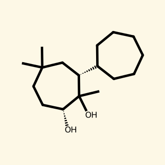 CC1(C)CC[C@@H](O)C(C)(O)[C@@H](C2CCCCCC2)C1